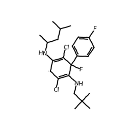 CC(C)CC(C)NC1=C(Cl)C(F)(c2ccc(F)cc2)C(NCC(C)(C)C)=C(Cl)[CH]1